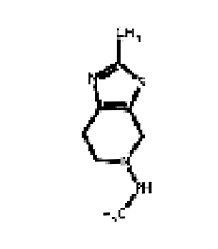 CPN1CCc2nc(C)sc2C1